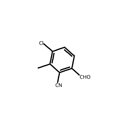 Cc1c(Cl)ccc(C=O)c1C#N